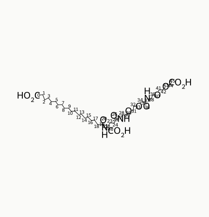 O=C(O)CCCCCCCCCCCCCCCCCCC(=O)N[C@@H](CCC(=O)NCCOCCOCC(=O)NCCOCCOCC(=O)O)C(=O)O